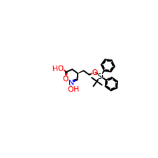 CC(C)(C)[Si](OCC[C@@H](C=NO)CC(=O)O)(c1ccccc1)c1ccccc1